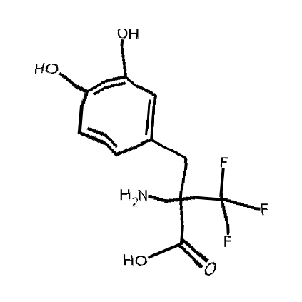 NC(Cc1ccc(O)c(O)c1)(C(=O)O)C(F)(F)F